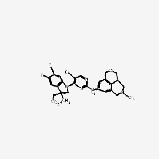 CN1Cc2cc(Nc3ncc(Cl)c(N4CC(C)(CC(=O)O)c5cc(F)c(F)cc54)n3)cc3c2C(COC3)C1